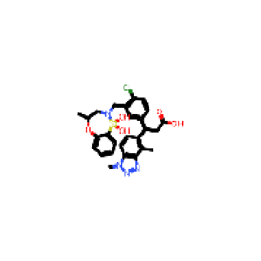 Cc1c(C(CC(=O)O)c2ccc(Cl)c(CN3CC(C)Oc4ccccc4S3(O)O)c2)ccc2c1nnn2C